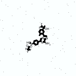 Cc1ccc(C(C)(O)C(F)F)cc1-c1cnc2c(N)nc(-c3ccc(B(O)OC(=O)C(F)(F)F)cc3)cn12